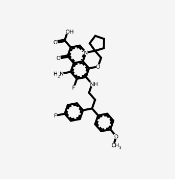 COc1ccc(C(CCNc2c(F)c(N)c3c(=O)c(C(=O)O)cn4c3c2OCC42CCCC2)c2ccc(F)cc2)cc1